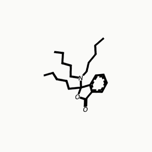 CCCCCN(CCCCC)C1(CCCCC)OC(=O)c2ccccc21